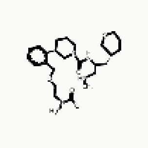 CNC[C@H](C[C@H]1CCCOC1)NC(=O)N1CCC[C@H](c2ccccc2COCCN(C)C(=O)O)C1